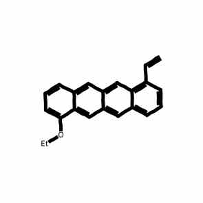 C=Cc1cccc2cc3cc4c(OCC)cccc4cc3cc12